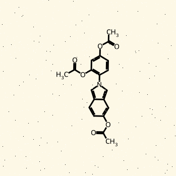 CC(=O)Oc1ccc(-n2cc3ccc(OC(C)=O)cc3c2)c(OC(C)=O)c1